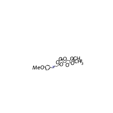 COc1ccc(/C=C/CC(=O)OC2C(=O)OC3C4OC(C)(C)OC4OC23)cc1